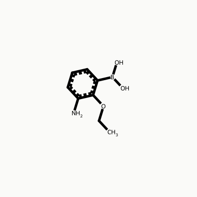 CCOc1c(N)cccc1B(O)O